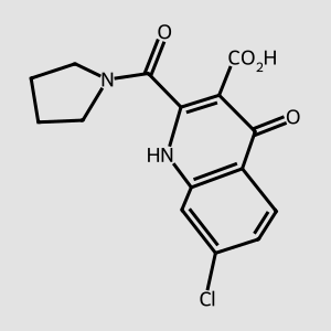 O=C(O)c1c(C(=O)N2CCCC2)[nH]c2cc(Cl)ccc2c1=O